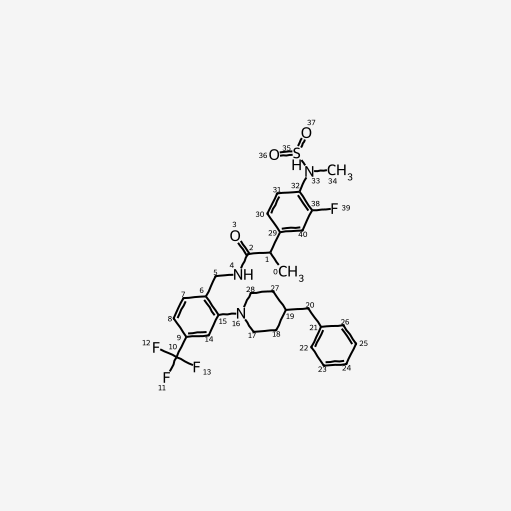 CC(C(=O)NCc1ccc(C(F)(F)F)cc1N1CCC(Cc2ccccc2)CC1)c1ccc(N(C)[SH](=O)=O)c(F)c1